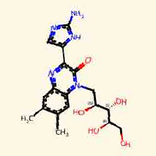 Cc1cc2nc(-c3cnc(N)[nH]3)c(=O)n(C[C@H](O)[C@H](O)[C@H](O)CO)c2cc1C